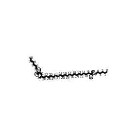 CCCCCCOC(=O)CCCCCCCCCCCCCCCCCCCCC(C)CC(=O)OCCCCCC